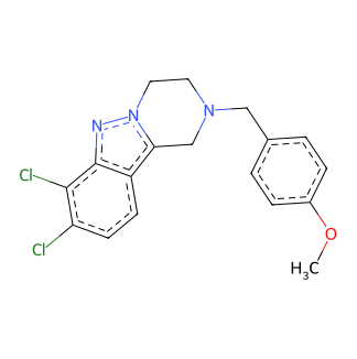 COc1ccc(CN2CCn3nc4c(Cl)c(Cl)ccc4c3C2)cc1